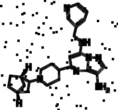 Bc1cnn2c(NCc3cccnc3)cc(C3CCN(C4C[C@@H]5CC[C@H]4C5)CC3)nc12